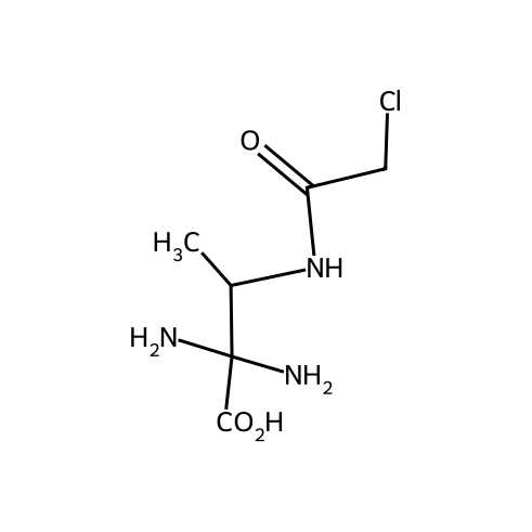 CC(NC(=O)CCl)C(N)(N)C(=O)O